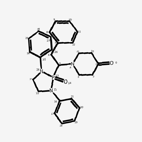 O=C1CCN(C(Cc2ccccc2)P2(=O)N(c3ccccc3)CCN2c2ccccc2)CC1